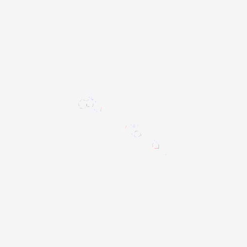 CC(C)(C)c1cnc(CSc2cnc(NC(=O)CCCCCCC(=O)Nc3n[nH]c4ccccc34)s2)o1